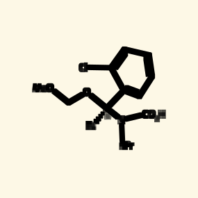 CCCN(C(=O)O)[C@@](CC)(OCOC)c1ccccc1Cl